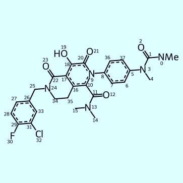 CNC(=O)N(C)c1ccc(-n2c(C(=O)N(C)C)c3c(c(O)c2=O)C(=O)N(Cc2ccc(F)c(Cl)c2)CC3)cc1